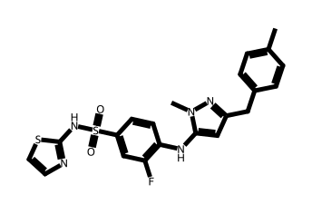 Cc1ccc(Cc2cc(Nc3ccc(S(=O)(=O)Nc4nccs4)cc3F)n(C)n2)cc1